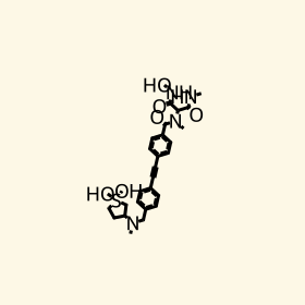 CNC(=O)C(C(=O)NO)N(C)C(=O)c1ccc(C#Cc2ccc(CN(C)C3CCS(O)(O)C3)cc2)cc1